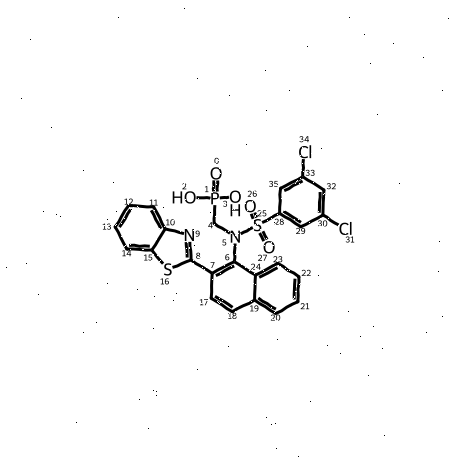 O=P(O)(O)CN(c1c(-c2nc3ccccc3s2)ccc2ccccc12)S(=O)(=O)c1cc(Cl)cc(Cl)c1